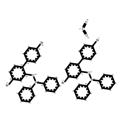 Brc1ccc(-c2ccc(Br)cc2OP(c2ccccc2)c2ccccc2)cc1.Brc1ccc(-c2ccc(Br)cc2OP(c2ccccc2)c2ccccc2)cc1.O=S=O